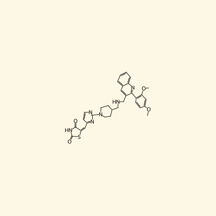 COc1ccc(-c2nc3ccccc3cc2CNCC2CCN(c3nccc(/C=C4/SC(=O)NC4=O)n3)CC2)c(OC)c1